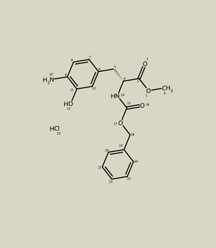 COC(=O)[C@@H](Cc1ccc(N)c(O)c1)NC(=O)OCc1ccccc1.Cl